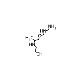 CCCNC(C)COCNCN